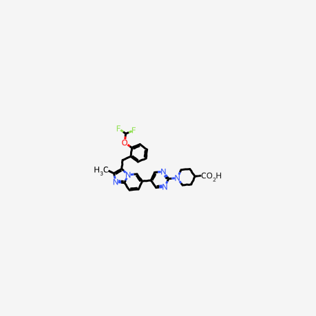 Cc1nc2ccc(-c3cnc(N4CCC(C(=O)O)CC4)nc3)cn2c1Cc1ccccc1OC(F)F